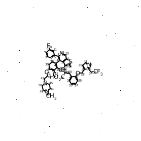 CC1=C(c2c(-c3cccc(F)c3)ncc3snc(O[C@H](Cc4ccccc4OCc4ccnn4CC(F)(F)F)C(=O)O)c23)CCC(OCCN2CCN(C)CC2)=C1Cl